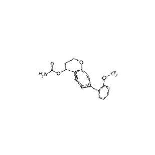 NC(=O)OC1CCOc2cc(-c3ccccc3OC(F)(F)F)ccc21